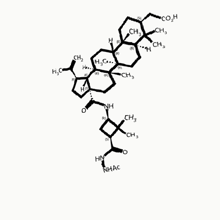 C=C(C)[C@@H]1CC[C@]2(C(=O)N[C@@H]3C[C@H](C(=O)NNC(C)=O)C3(C)C)CC[C@]3(C)[C@H](CC[C@@H]4[C@]5(C)CC[C@@H](CC(=O)O)C(C)(C)[C@H]5CC[C@]43C)[C@@H]12